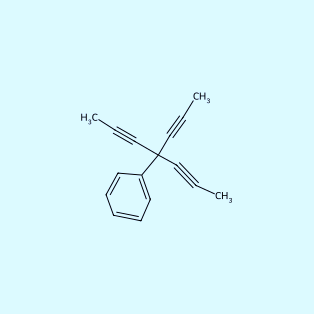 CC#CC(C#CC)(C#CC)c1ccccc1